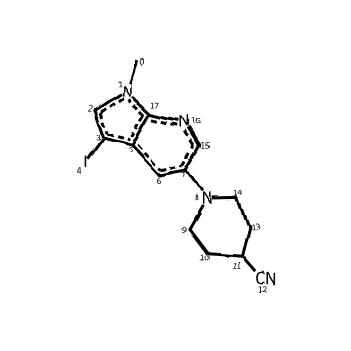 Cn1cc(I)c2cc(N3CCC(C#N)CC3)cnc21